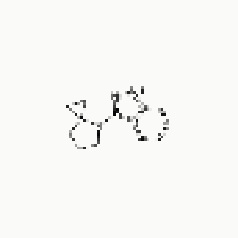 c1ccc2c(N3CCCC34CC4)n[nH]c2c1